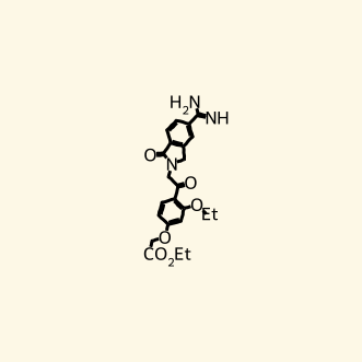 CCOC(=O)COc1ccc(C(=O)CN2Cc3cc(C(=N)N)ccc3C2=O)c(OCC)c1